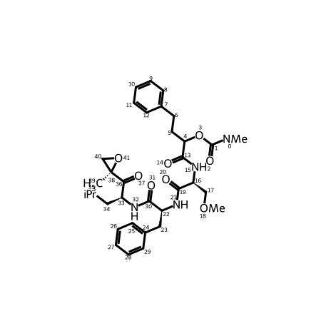 CNC(=O)OC(CCc1ccccc1)C(=O)N[C@@H](COC)C(=O)N[C@@H](Cc1ccccc1)C(=O)N[C@@H](CC(C)C)C(=O)[C@@]1(C)CO1